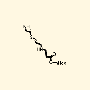 CCCCCCOC(=O)CCNCCSSCCN